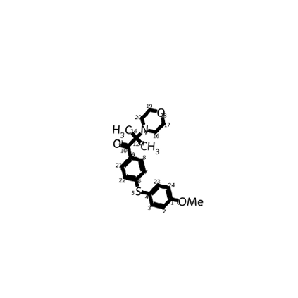 COc1ccc(Sc2ccc(C(=O)C(C)(C)N3CCOCC3)cc2)cc1